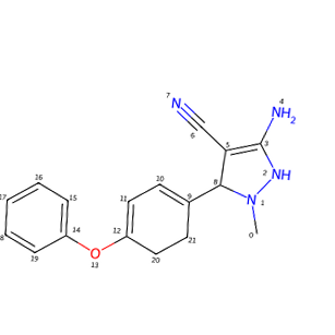 CN1NC(N)=C(C#N)C1C1=CC=C(Oc2ccccc2)CC1